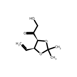 C=C[C@@H]1OC(C)(C)O[C@@H]1C(=O)CO